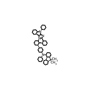 CC1(C)c2ccccc2-c2c(N(c3ccccc3)c3ccc(-c4cccc5c4c4ccccc4c4nc6c(c7ccccc7n6-c6ccccc6)n54)cc3)cccc21